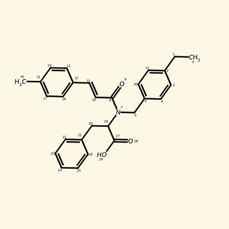 CCc1ccc(CN(C(=O)C=Cc2ccc(C)cc2)C(Cc2ccccc2)C(=O)O)cc1